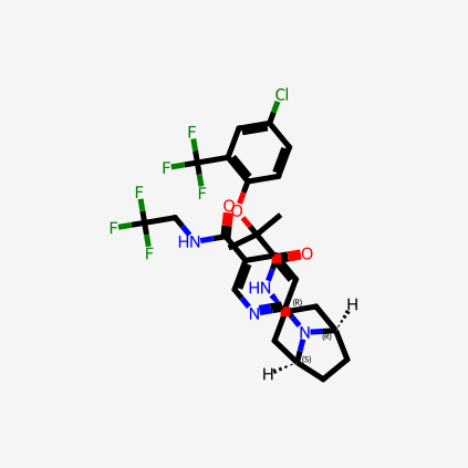 CC(C)(Oc1ccc(Cl)cc1C(F)(F)F)C(=O)N[C@H]1C[C@H]2CC[C@@H](C1)N2c1ccc(C(=O)NCC(F)(F)F)cn1